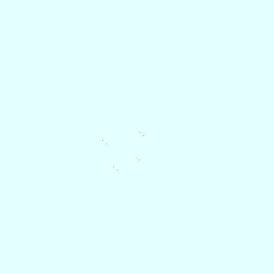 c1cnc2c(CC3CO3)nc(CC3CO3)nc2n1